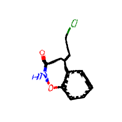 O=C1NOc2ccccc2C1CCCl